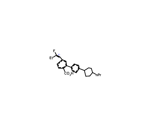 CCCC1CCC(c2ccc(-c3cc(/C=C(/F)CC)ccc3C(=O)O)cc2)CC1